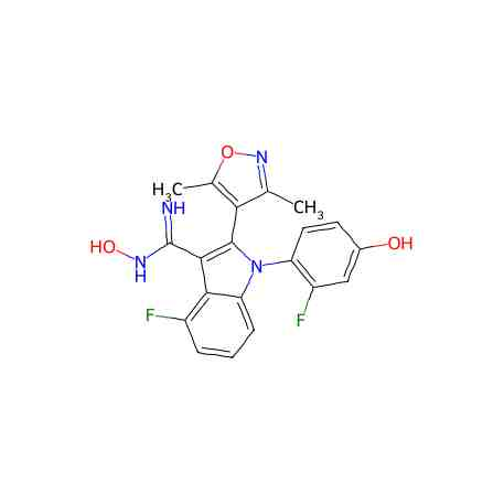 Cc1noc(C)c1-c1c(C(=N)NO)c2c(F)cccc2n1-c1ccc(O)cc1F